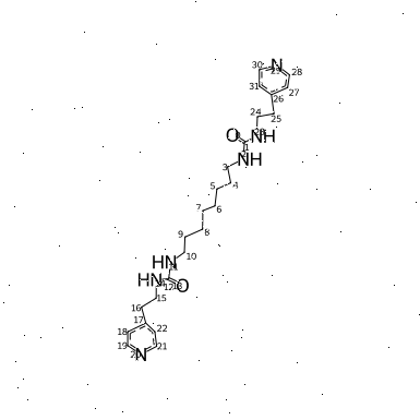 O=C(NCCCCCCCCNC(=O)NCCc1ccncc1)NCCc1ccncc1